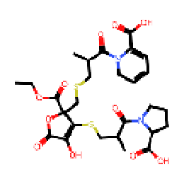 CCOC(=O)C1(CSCC(C)C(=O)N2CC=CC=C2C(=O)O)OC(=O)C(O)=C1SCC(C)C(=O)N1CCCC1C(=O)O